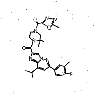 Cc1nnc(C(=O)N2CCN(C(=O)c3cn4nc(-c5ccc(F)c(C)c5)cc(C(C)C)c4n3)C(C)(C)C2)o1